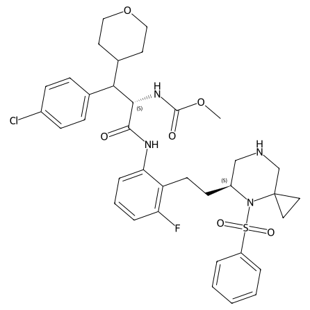 COC(=O)N[C@H](C(=O)Nc1cccc(F)c1CC[C@H]1CNCC2(CC2)N1S(=O)(=O)c1ccccc1)C(c1ccc(Cl)cc1)C1CCOCC1